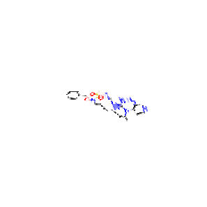 CC(CCCCCN(OCc1ccccc1)S(C)(=O)=O)N(C(N)=NC#N)c1ccncc1